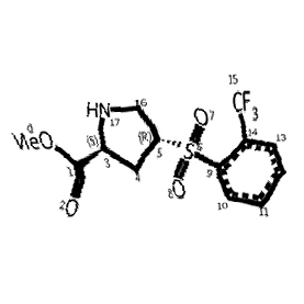 COC(=O)[C@@H]1C[C@@H](S(=O)(=O)c2ccccc2C(F)(F)F)CN1